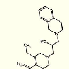 C=CC1=C(CC)CN(CC(O)CN2CCc3ccccc3C2)CC1